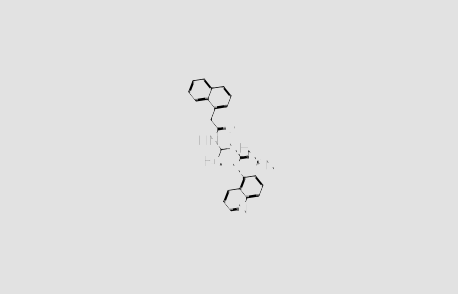 CC(C)(C)C(NC(=O)Cc1cccc2ccccc12)N/C(=N/C#N)Nc1cccc2ncccc12